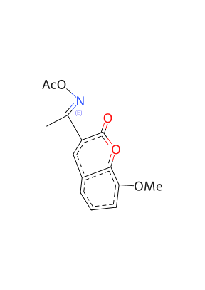 COc1cccc2cc(/C(C)=N/OC(C)=O)c(=O)oc12